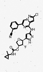 CC1(NC(=O)O[C@H]2CO[C@@H](c3cc(Nc4nc(-c5cccc(C#N)c5)cn5nc(Cl)cc45)n[nH]3)[C@@H]2F)CC1